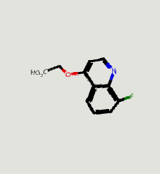 O=C(O)COc1ccnc2c(F)cccc12